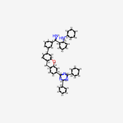 N=C(c1cccc(-c2ccc3c(c2)Oc2cc(-c4nc(-c5ccccc5)nc(-c5ccccc5)n4)ccc2C3)c1)c1ccccc1Nc1ccccc1